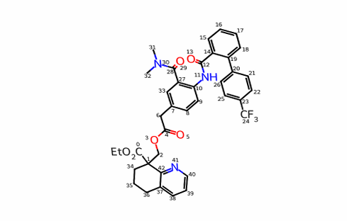 CCOC(=O)C1(COC(=O)Cc2ccc(NC(=O)c3ccccc3-c3ccc(C(F)(F)F)cc3)c(C(=O)N(C)C)c2)CCCc2cccnc21